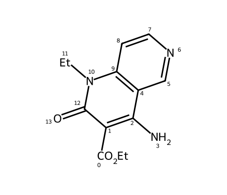 CCOC(=O)c1c(N)c2cnccc2n(CC)c1=O